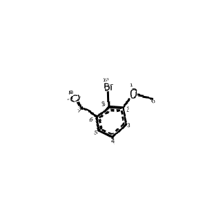 COc1cccc(C[O])c1Br